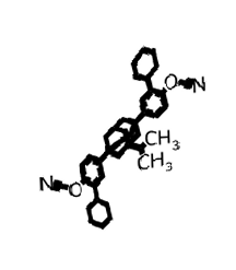 CC(C)C12CC3CC(c4ccc(OC#N)c(C5CCCCC5)c4)(CC(c4ccc(OC#N)c(C5CCCCC5)c4)(C3)C1)C2